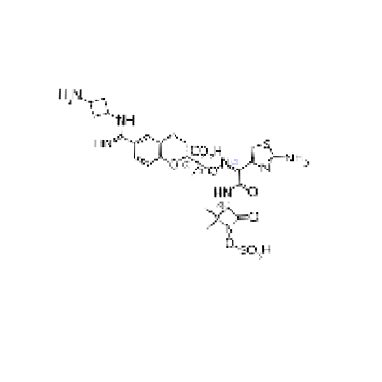 CC1(C)[C@H](NC(=O)/C(=N\O[C@](C)(C(=O)O)[C@H]2CCc3cc(C(=N)NC4CC(N)C4)ccc3O2)c2csc(N)n2)C(=O)N1OS(=O)(=O)O